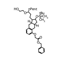 CCCCC[C@@H](CCC1C(O[Si](C)(C)C(C)(C)C)C[C@@H]2Cc3c(cccc3OCC(=O)OCc3ccccc3)C[C@H]12)OCCO